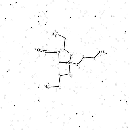 CCCO[Si](CN=C=O)(OCCC)OCCC